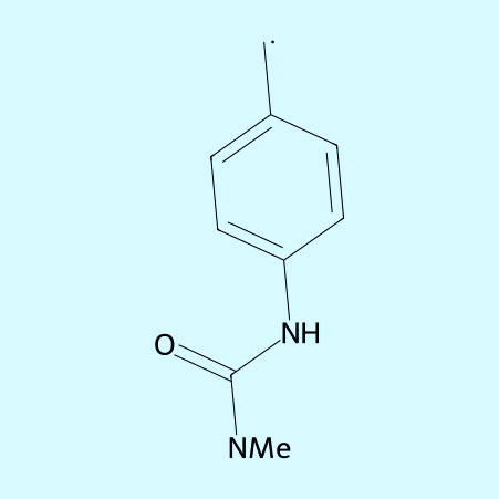 [CH2]c1ccc(NC(=O)NC)cc1